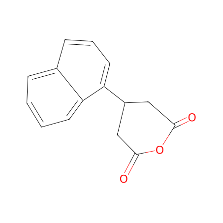 O=C1CC(c2cccc3ccccc23)CC(=O)O1